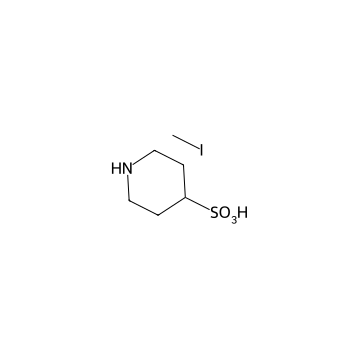 CI.O=S(=O)(O)C1CCNCC1